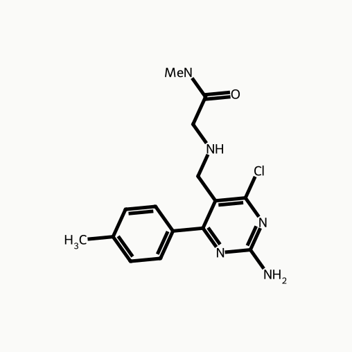 CNC(=O)CNCc1c(Cl)nc(N)nc1-c1ccc(C)cc1